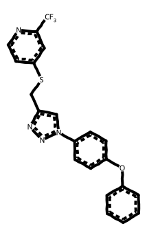 FC(F)(F)c1cc(SCc2cn(-c3ccc(Oc4ccccc4)cc3)nn2)ccn1